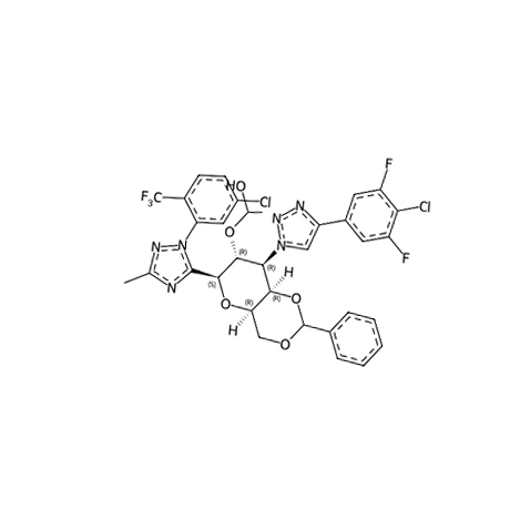 Cc1nc([C@@H]2O[C@@H]3COC(c4ccccc4)O[C@@H]3[C@H](n3cc(-c4cc(F)c(Cl)c(F)c4)nn3)[C@H]2OC(C)O)n(-c2cc(Cl)ccc2C(F)(F)F)n1